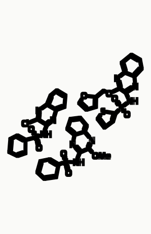 COc1nc2ccccc2nc1NS(=O)(=O)c1ccccc1.O=S(=O)(Nc1nc2ccccc2nc1Cl)c1ccccc1.O=S(=O)(Nc1nc2ccccc2nc1OCc1ccco1)c1cccs1